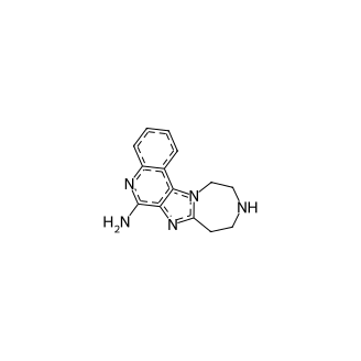 Nc1nc2ccccc2c2c1nc1n2CCNCC1